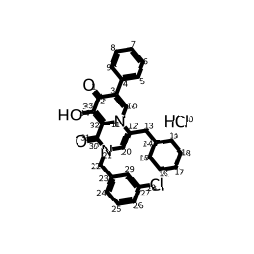 Cl.O=c1c(-c2ccccc2)cn2c(CC3CCCCC3)cn(Cc3cccc(Cl)c3)c(=O)c2c1O